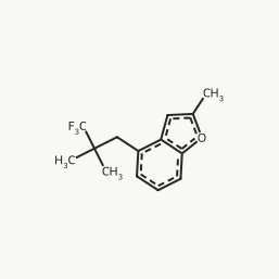 Cc1cc2c(CC(C)(C)C(F)(F)F)cccc2o1